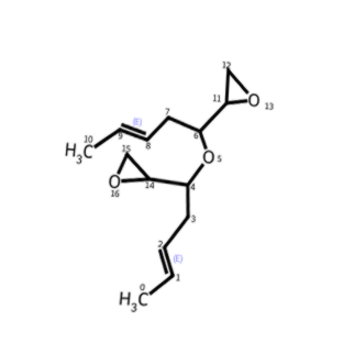 C/C=C/CC(OC(C/C=C/C)C1CO1)C1CO1